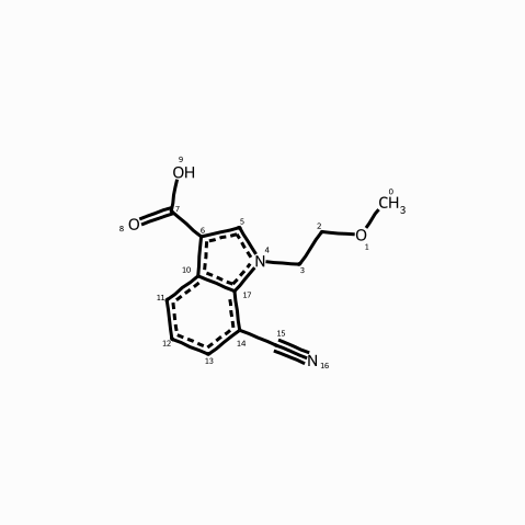 COCCn1cc(C(=O)O)c2cccc(C#N)c21